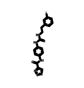 O=C(Nc1ccc(NC(=S)NCCc2cccc(I)c2)cc1)c1csnn1